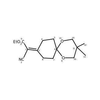 CCOC(=O)C(C#N)=C1CCC2(CC1)OCC(C)(C)CO2